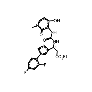 CCOC(=O)C[C@H](NC(=O)Nc1c(O)ccn(C)c1=O)c1cc(-c2ccc(F)cc2F)cs1